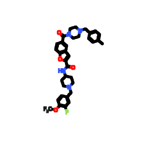 Cc1ccc(CN2CCN(C(=O)c3ccc4oc(C(=O)NC5CCN(Cc6ccc(OC(F)(F)F)c(F)c6)CC5)cc4c3)CC2)cc1